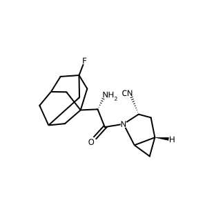 [C-]#[N+][C@@H]1C[C@@H]2CC2N1C(=O)[C@@H](N)C12CC3CC(CC(F)(C3)C1)C2